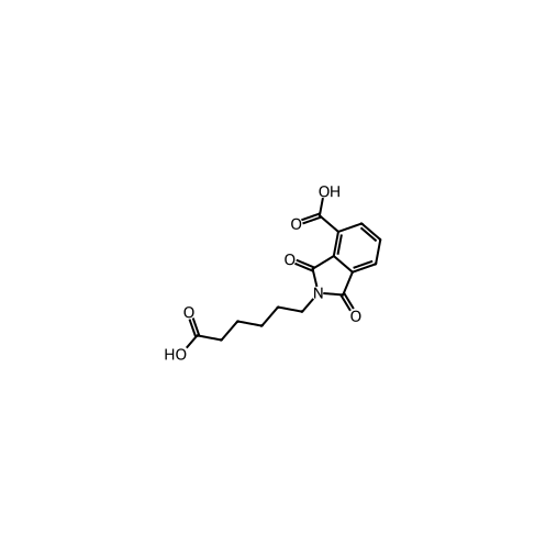 O=C(O)CCCCCN1C(=O)c2cccc(C(=O)O)c2C1=O